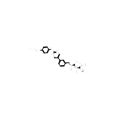 CC(=O)Nc1ccc(Nc2ncc(-c3cccc(CNC(=O)NC(=N)N)c3)cn2)cc1